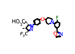 C[C@@H]1C(C(F)(F)F)=NN(c2ccc(OC3CCN(c4cc(-c5ncco5)ccc4F)CC3)cc2)[C@H]1CC(=O)O